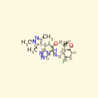 Cc1nn(C)c(C)c1-c1cc2c(n3cnnc13)NCc1c(F)ccc3c1[C@@H](CO3)CO2